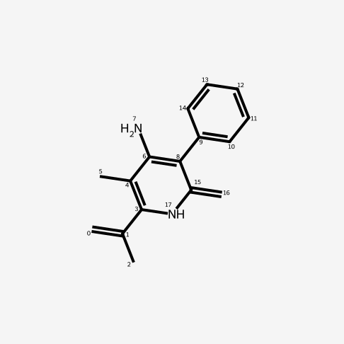 C=C(C)C1=C(C)C(N)=C(c2ccccc2)C(=C)N1